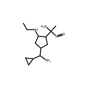 CCNC1CC(C(N)C2CC2)CC1C(C)(N)N=O